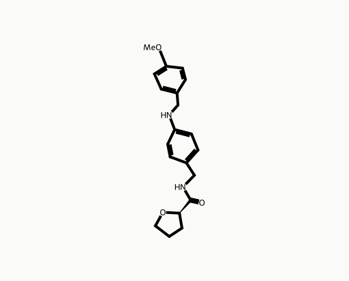 COc1ccc(CNc2ccc(CNC(=O)[C@H]3CCCO3)cc2)cc1